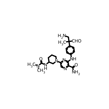 CN(C)C(=O)NC1CCCN(c2cnc(C(N)=O)c(Nc3ccc(C(C)(C=O)CN)cc3)n2)C1